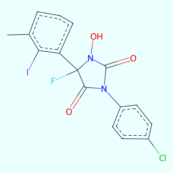 Cc1cccc(C2(F)C(=O)N(c3ccc(Cl)cc3)C(=O)N2O)c1I